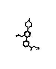 C=CCc1cc(N2CCN(C)CC2)c[c]c1-c1cccc(C(C)CO)n1